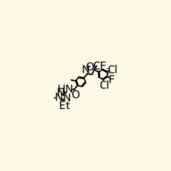 CCc1nc(NC(=O)c2ccc(C3=NOC(c4cc(Cl)c(F)c(Cl)c4)(C(F)(F)F)C3)cc2C)nn1C